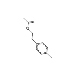 C=C(C)OCCc1ccc(C)cc1